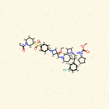 COC(=O)N[C@H]1CCC[C@@H]1C(CN1CCC1)(c1cccc(F)c1)C1CCN(CC2(OC)CN(c3ccc(S(=O)(=O)[C@@H]4CCCN(C(C)=O)C4)cc3)C2)CC1